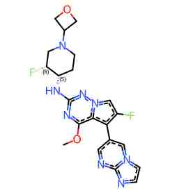 COc1nc(N[C@H]2CCN(C3COC3)C[C@H]2F)nn2cc(F)c(-c3cnc4nccn4c3)c12